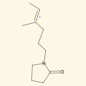 C/C=C(\C)CCCN1CCCC1=O